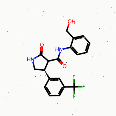 O=C1NC[C@H](c2cccc(C(F)(F)F)c2)C1C(=O)Nc1ccccc1CO